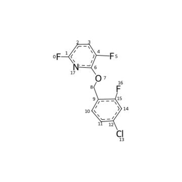 Fc1ccc(F)c(OCc2ccc(Cl)cc2F)n1